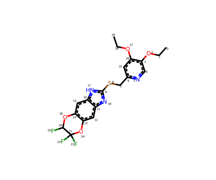 CCOc1cnc(CSc2nc3cc4c(cc3[nH]2)OC(F)C(F)(F)O4)cc1OCC